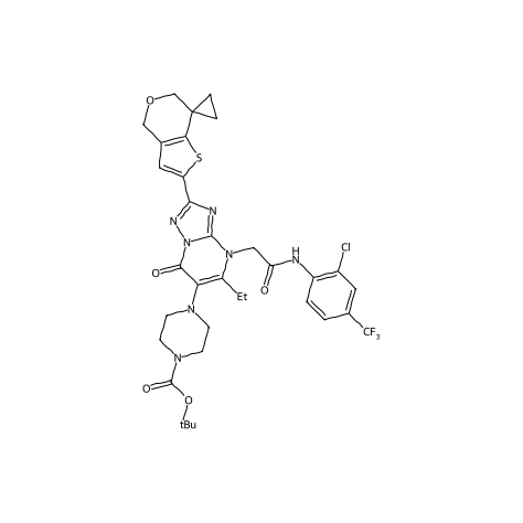 CCc1c(N2CCN(C(=O)OC(C)(C)C)CC2)c(=O)n2nc(-c3cc4c(s3)C3(CC3)COC4)nc2n1CC(=O)Nc1ccc(C(F)(F)F)cc1Cl